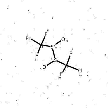 [O-][S+]([S+]([O-])C(F)(F)Br)C(F)(F)Cl